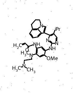 C=CC(=O)Nc1cc(Nc2ncc(C(C)C)c(-c3cn4c5c(cccc35)CCC4)n2)c(OC)cc1N(C)CCN(C)C